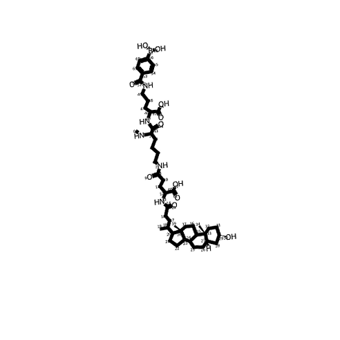 CNC(CCCCNC(=O)CCC(NC(=O)CCC(C)C1CCC2C3CC[C@H]4C[C@@H](O)CC[C@@]4(C)C3CC[C@@]12C)C(=O)O)C(=O)NC(CCCNC(=O)c1ccc(B(O)O)cc1)C(=O)O